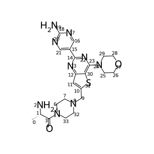 C[C@H](N)C(=O)N1CCN(Cc2cc3nc(-c4cnc(N)nc4)nc(N4CCOCC4)c3s2)CC1